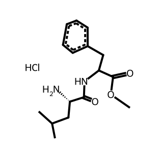 COC(=O)C(Cc1ccccc1)NC(=O)[C@@H](N)CC(C)C.Cl